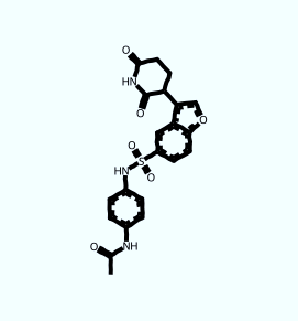 CC(=O)Nc1ccc(NS(=O)(=O)c2ccc3occ(C4CCC(=O)NC4=O)c3c2)cc1